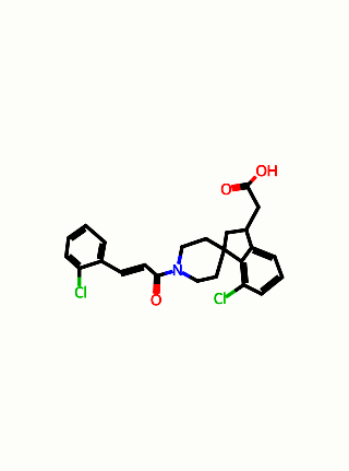 O=C(O)CC1CC2(CCN(C(=O)/C=C/c3ccccc3Cl)CC2)c2c(Cl)cccc21